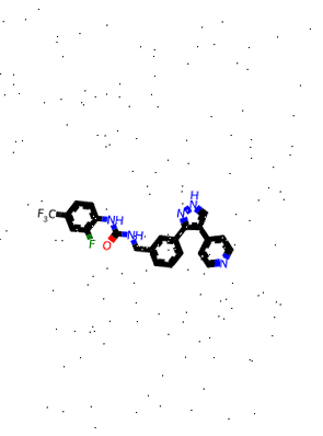 O=C(NCc1cccc(-c2n[nH]cc2-c2ccncc2)c1)Nc1ccc(C(F)(F)F)cc1F